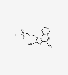 CCCCc1nc2c(N)nc3ccccc3c2n1CCCS(C)(=O)=O